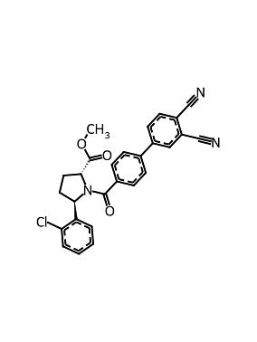 COC(=O)[C@H]1CC[C@H](c2ccccc2Cl)N1C(=O)c1ccc(-c2ccc(C#N)c(C#N)c2)cc1